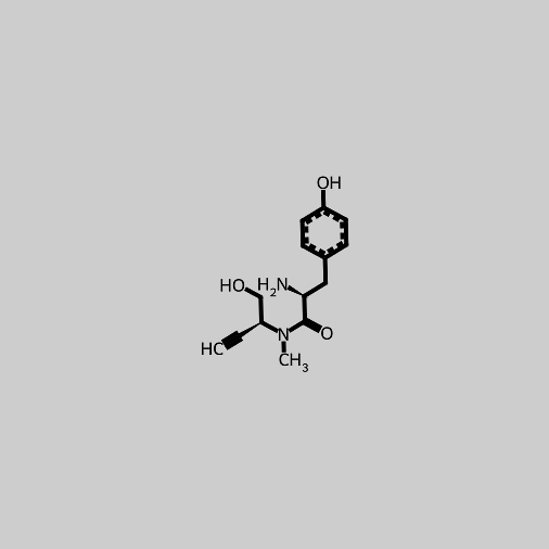 C#C[C@@H](CO)N(C)C(=O)[C@@H](N)Cc1ccc(O)cc1